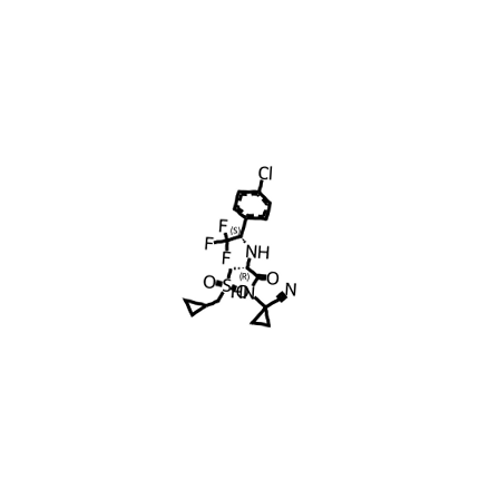 N#CC1(NC(=O)[C@H](CS(=O)(=O)CC2CC2)N[C@@H](c2ccc(Cl)cc2)C(F)(F)F)CC1